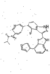 CC(C)C(=O)Nc1cncc(-c2ccc3[nH]nc(-c4nc5c(-c6ccsc6)ccnc5[nH]4)c3c2F)c1